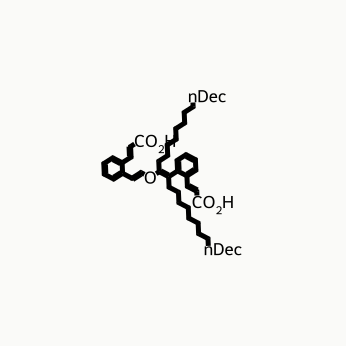 CCCCCCCCCCCCCCCCCCC(OC=Cc1ccccc1C=CC(=O)O)=C(CCCCCCCCCCCCCCCCCC)c1ccccc1C=CC(=O)O